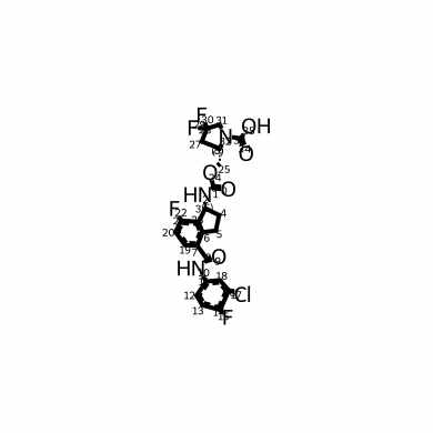 O=C(N[C@H]1CCc2c(C(=O)Nc3ccc(F)c(Cl)c3)ccc(F)c21)OC[C@@H]1CC(F)(F)CN1C(=O)O